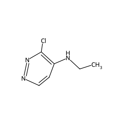 CCNc1ccnnc1Cl